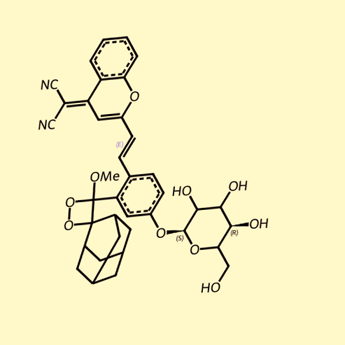 COC1(c2cc(O[C@@H]3OC(CO)[C@H](O)C(O)C3O)ccc2/C=C/C2=CC(=C(C#N)C#N)c3ccccc3O2)OOC12C1CC3CC(C1)CC2C3